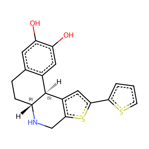 Oc1cc2c(cc1O)[C@H]1c3cc(-c4cccs4)sc3CN[C@@H]1CC2